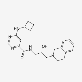 O=C(NC[C@H](O)CN1CCc2ccccc2C1)c1cc(NC2CCC2)ncn1